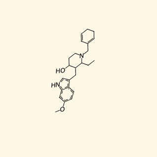 CCC1C(Cc2c[nH]c3cc(OC)ccc23)C(O)CCN1CC1=CCCC=C1